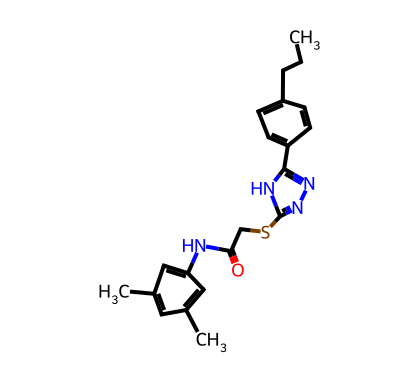 CCCc1ccc(-c2nnc(SCC(=O)Nc3cc(C)cc(C)c3)[nH]2)cc1